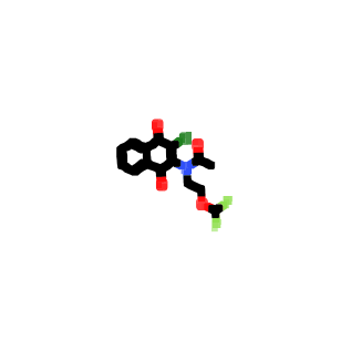 CC(=O)N(CCOC(F)F)C1=C(Cl)C(=O)c2ccccc2C1=O